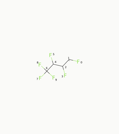 F[CH]C(F)C(F)C(F)(F)F